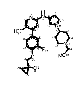 Cc1cnc(Nc2cnn(C3CCN(CC#N)CC3)c2)nc1-c1ccc(OCC2(C#N)CC2)c(F)c1